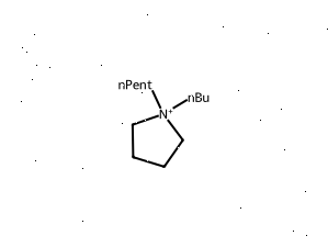 CCCCC[N+]1(CCCC)CCCC1